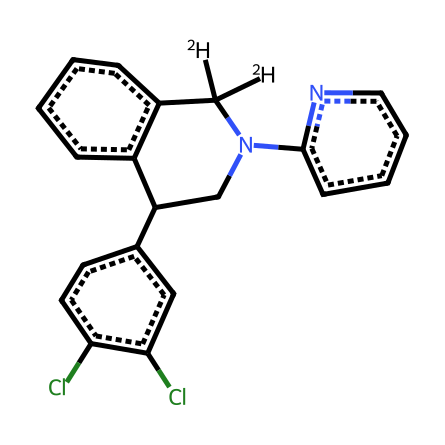 [2H]C1([2H])c2ccccc2C(c2ccc(Cl)c(Cl)c2)CN1c1ccccn1